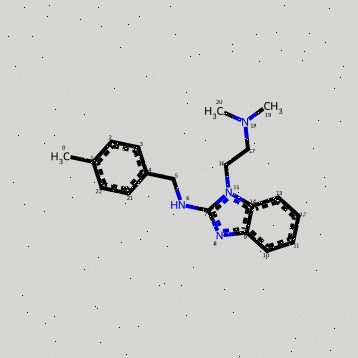 Cc1ccc(CNc2nc3ccccc3n2CCN(C)C)cc1